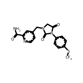 NC(=O)c1cc(CN2CC(=O)N(c3ccc(SC(F)(F)F)cc3)C2=O)ccn1